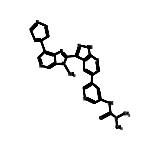 CN(C)C(=O)Nc1cncc(-c2cnc3[nH]nc(-c4nc5c(-c6ccncc6)cncc5n4N)c3c2)c1